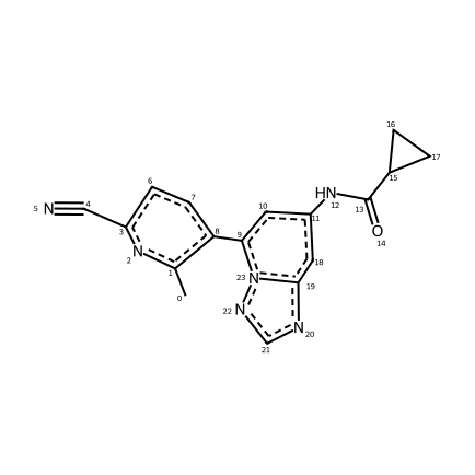 Cc1nc(C#N)ccc1-c1cc(NC(=O)C2CC2)cc2ncnn12